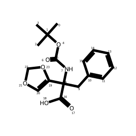 CC(C)(C)OC(=O)NC(Cc1ccccc1)(C(=O)O)C1=COCO1